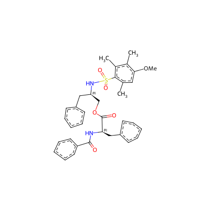 COc1cc(C)c(S(=O)(=O)N[C@@H](COC(=O)[C@@H](Cc2ccccc2)NC(=O)c2ccccc2)Cc2ccccc2)c(C)c1C